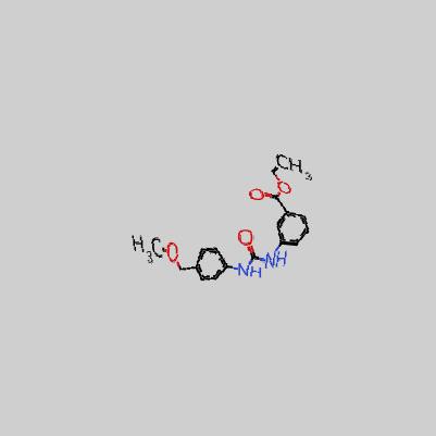 CCOC(=O)c1cccc(NC(=O)Nc2ccc(COC)cc2)c1